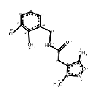 Cc1noc(C)c1CC(=O)NCc1cccc(Cl)c1C